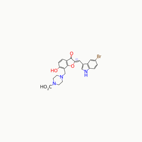 O=C1/C(=C/c2c[nH]c3ccc(Br)cc23)Oc2c1ccc(O)c2CN1CCN(C(=O)O)CC1